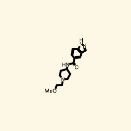 COCCN1CCC(NC(=O)c2ccc3[nH]ncc3c2)CC1